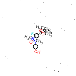 CN(C(=O)N(C)C1CCC(O)CC1)c1ccc(B2OC(C)(C)C(C)(C)O2)cc1F